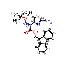 CC(C)(O/N=C(/C(=O)OCC1c2ccccc2-c2ccccc21)c1csc(N)n1)C(=O)O